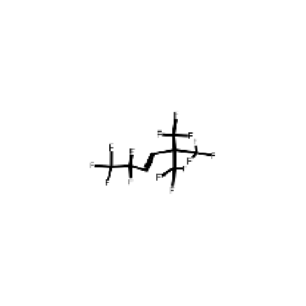 FC(F)(F)C(F)(F)C=CC(C(F)(F)F)(C(F)(F)F)C(F)(F)F